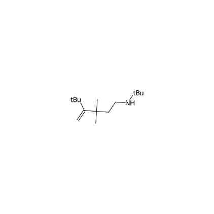 C=C(C(C)(C)C)C(C)(C)CCNC(C)(C)C